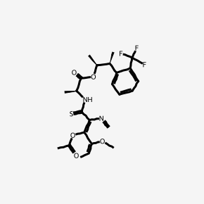 C=N/C(C(=S)N[C@@H](C)C(=O)O[C@@H](C)[C@@H](C)c1ccccc1C(F)(F)F)=C(OC(C)=O)\C(=C/C)OC